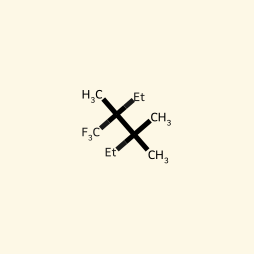 CCC(C)(C)C(C)(CC)C(F)(F)F